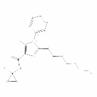 Cc1c(C(=O)NC2(C#N)CC2)nc(CCCCCO[N+](=O)[O-])n1-c1ccccc1